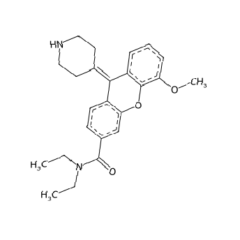 CCN(CC)C(=O)c1ccc2c(c1)Oc1c(OC)cccc1C2=C1CCNCC1